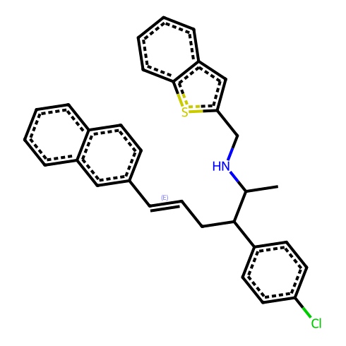 CC(NCc1cc2ccccc2s1)C(C/C=C/c1ccc2ccccc2c1)c1ccc(Cl)cc1